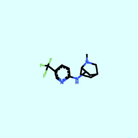 CN1CC2CCC1C(Nc1ccc(C(F)(F)F)cn1)C2